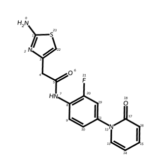 Nc1nc(CC(=O)Nc2ccc(-n3ccccc3=O)cc2F)cs1